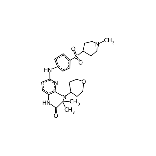 CN1CCC(S(=O)(=O)c2ccc(Nc3ccc4c(n3)N(C3CCOCC3)C(C)(C)C(=O)N4)cc2)CC1